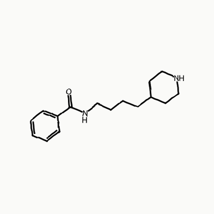 O=C(NCCCCC1CCNCC1)c1ccccc1